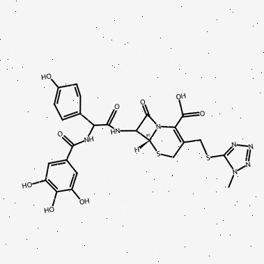 Cn1nnnc1SCC1=C(C(=O)O)N2C(=O)C(NC(=O)C(NC(=O)c3cc(O)c(O)c(O)c3)c3ccc(O)cc3)[C@H]2SC1